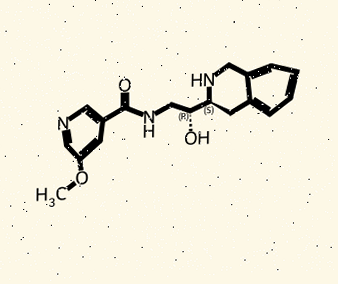 COc1cncc(C(=O)NC[C@@H](O)[C@@H]2Cc3ccccc3CN2)c1